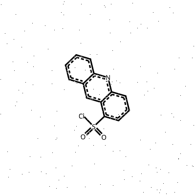 O=S(=O)(Cl)c1cccc2nc3ccccc3cc12